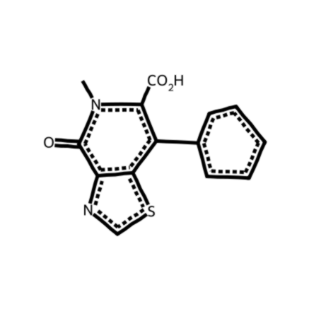 Cn1c(C(=O)O)c(-c2ccccc2)c2scnc2c1=O